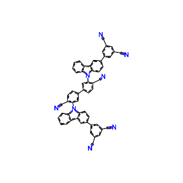 N#Cc1cc(C#N)cc(-c2ccc3c(c2)c2ccccc2n3-c2cc(-c3ccc(C#N)c(-n4c5ccccc5c5cc(-c6cc(C#N)cc(C#N)c6)ccc54)c3)ccc2C#N)c1